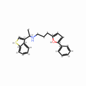 CC(NCCCc1ccc(-c2ccccc2)o1)c1csc2ccccc12